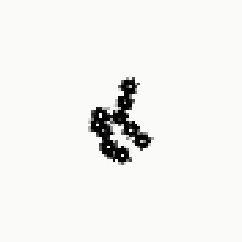 c1ccc(-c2ccc(-c3cc(-c4ccc(-c5ccccc5)cc4)nc(-n4c5cccc6ccc7cc(-c8ccc9sc%10ccccc%10c9c8)cc4c7c65)c3)cc2)cc1